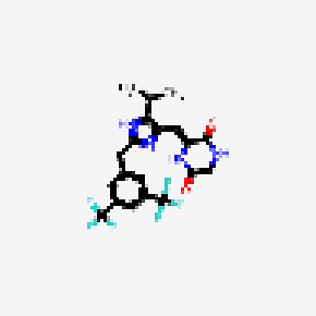 CC(C)c1[nH]c(Cc2cc(C(F)(F)F)cc(C(F)(F)F)c2)nc1C=C1NC(=O)CNC1=O